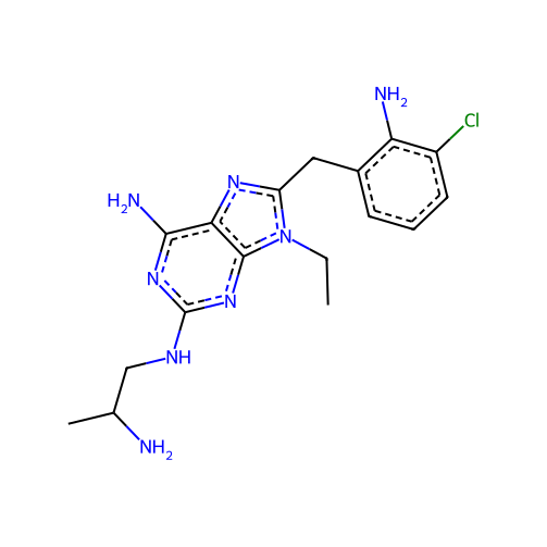 CCn1c(Cc2cccc(Cl)c2N)nc2c(N)nc(NCC(C)N)nc21